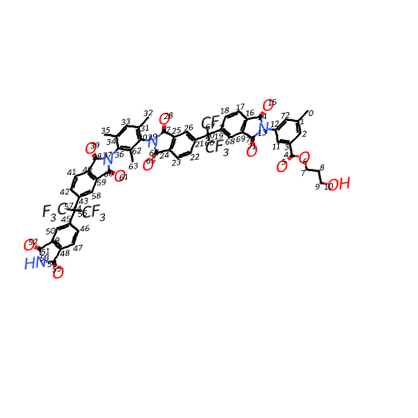 Cc1cc(C(=O)OCCCO)cc(N2C(=O)c3ccc(C(c4ccc5c(c4)C(=O)N(c4c(C)cc(C)c(N6C(=O)c7ccc(C(c8ccc9c(c8)C(=O)NC9=O)(C(F)(F)F)C(F)(F)F)cc7C6=O)c4C)C5=O)(C(F)(F)F)C(F)(F)F)cc3C2=O)c1